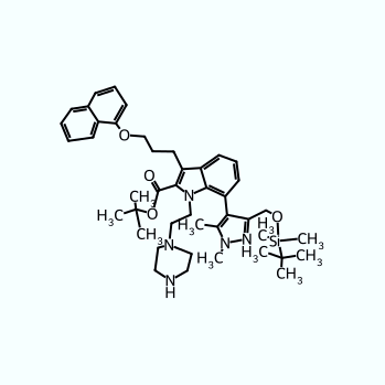 Cc1c(-c2cccc3c(CCCOc4cccc5ccccc45)c(C(=O)OC(C)(C)C)n(CCN4CCNCC4)c23)c(CO[Si](C)(C)C(C)(C)C)nn1C